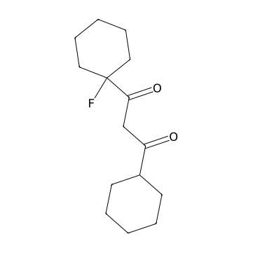 O=C(CC(=O)C1(F)CCCCC1)C1CCCCC1